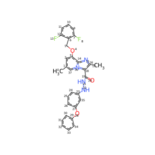 Cc1cc(OCc2c(F)cccc2F)c2nc(C)c(C(=O)NNc3cccc(Oc4ccccc4)c3)n2c1